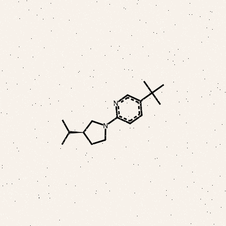 CC(C)[C@@H]1CCN(c2ccc(C(C)(C)C)cn2)C1